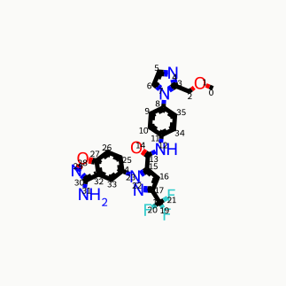 COCc1nccn1-c1ccc(NC(=O)c2cc(C(F)(F)F)nn2-c2ccc3onc(N)c3c2)cc1